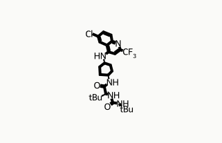 CC(C)(C)NC(=O)N[C@H](C(=O)N[C@H]1CC[C@@H](Nc2cc(C(F)(F)F)nc3ccc(Cl)cc23)CC1)C(C)(C)C